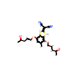 CC(=O)CCCOc1cc(C)c(OCCCC(C)=O)c2c1SC(=C(C#N)C#N)S2